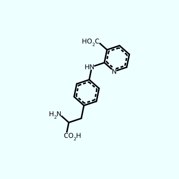 NC(Cc1ccc(Nc2ncccc2C(=O)O)cc1)C(=O)O